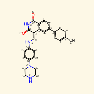 N#CC1=CC=C(c2ccc3c(c2)/C(=C/Nc2ccc(N4CCNCC4)cc2)C(=O)NC3=O)CC1